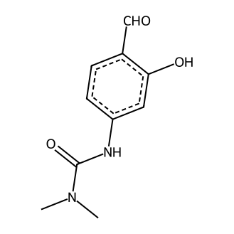 CN(C)C(=O)Nc1ccc(C=O)c(O)c1